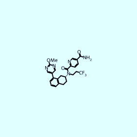 COc1ncc(-c2cccc3c2C[C@H](N(CCC(F)(F)F)C(=O)c2ccc(C(N)=O)cn2)CC3)cn1